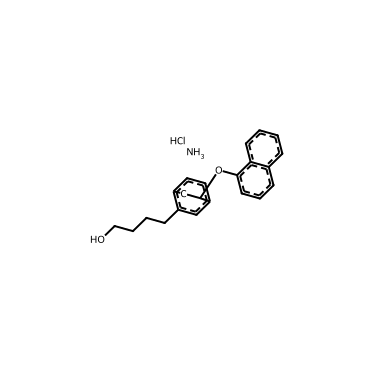 Cl.N.OCCCCc1cc2ccc1CC2Oc1cccc2ccccc12